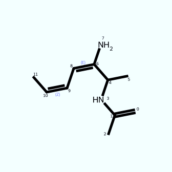 C=C(C)NC(C)/C(N)=C\C=C/C